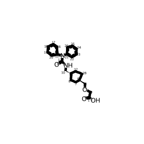 O=C(O)COC[C@H]1CC[C@H](CNC(=O)N(c2ccccc2)c2ccccc2)CC1